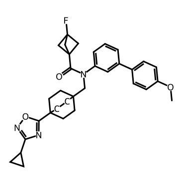 COc1ccc(-c2cccc(N(CC34CCC(c5nc(C6CC6)no5)(CC3)CC4)C(=O)C34CC(F)(C3)C4)c2)cc1